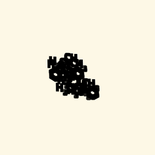 CC(C)(C)C(c1cccc(C(C(C)(C)C)[Si](C)(C)c2ccccc2)c1S)[Si](C)(C)c1ccccc1